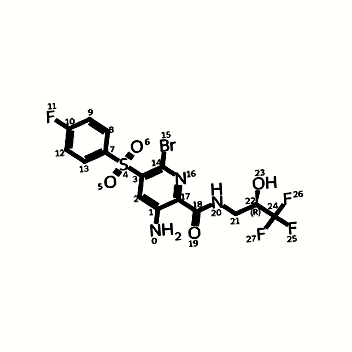 Nc1cc(S(=O)(=O)c2ccc(F)cc2)c(Br)nc1C(=O)NC[C@@H](O)C(F)(F)F